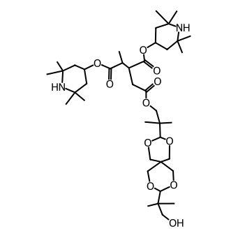 CC(C(=O)OC1CC(C)(C)NC(C)(C)C1)C(CC(=O)OCC(C)(C)C1OCC2(COC(C(C)(C)CO)OC2)CO1)C(=O)OC1CC(C)(C)NC(C)(C)C1